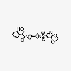 O=C([C@H](CO)c1ccccc1)N1CC(=C2CN(S(=O)(=O)c3cnc4c(c3)OCCO4)C2)C1